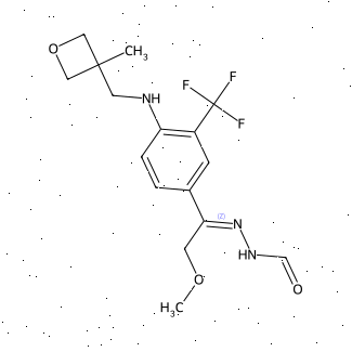 COC/C(=N\NC=O)c1ccc(NCC2(C)COC2)c(C(F)(F)F)c1